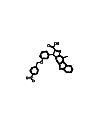 Cc1c2c(cc3sc4ccccc4c13)C(c1cccc(OCc3ccc([N+](=O)[O-])cc3)c1)C(C(=O)O)=N2